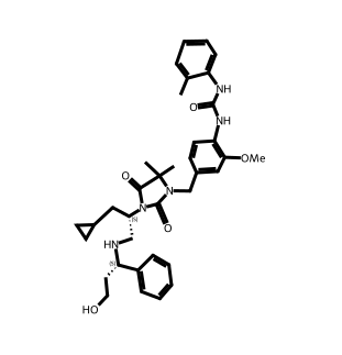 COc1cc(CN2C(=O)N([C@H](CN[C@@H](CCO)c3ccccc3)CC3CC3)C(=O)C2(C)C)ccc1NC(=O)Nc1ccccc1C